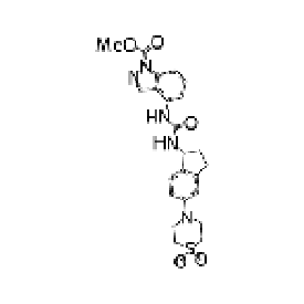 COC(=O)n1ncc2c(NC(=O)NC3CCc4cc(N5CCS(=O)(=O)CC5)ccc43)cccc21